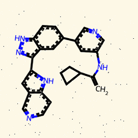 C=C(Nc1cncc(-c2ccc3[nH]nc(-c4cc5cnccc5[nH]4)c3c2)c1)C1CCC1